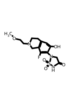 COCCN1CCc2cc(O)c(N3CC(=O)NS3(=O)=O)c(F)c2C1